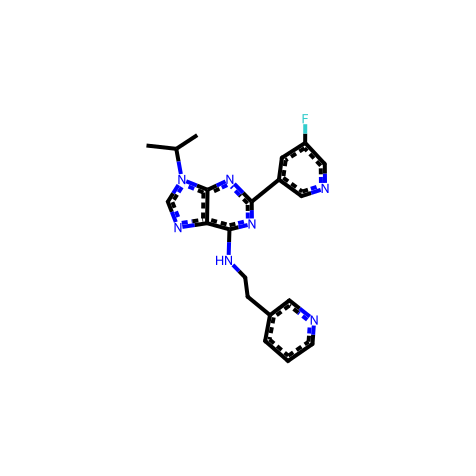 CC(C)n1cnc2c(NCCc3cccnc3)nc(-c3cncc(F)c3)nc21